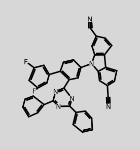 N#Cc1ccc2c3ccc(C#N)cc3n(-c3ccc(-c4cc(F)cc(F)c4)c(-c4nc(-c5ccccc5)nc(-c5ccccc5)n4)c3)c2c1